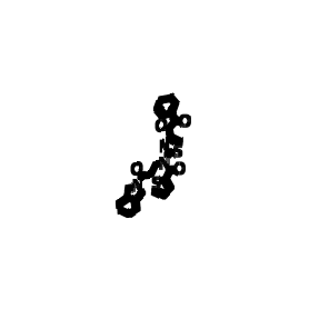 O=C1c2ccccc2OC1c1csc(N(CCC(=O)N2Cc3ccccc3C2)C(=O)c2cccs2)n1